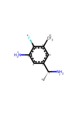 C[C@@H](N)c1cc(N)c(F)c(C(F)(F)F)c1